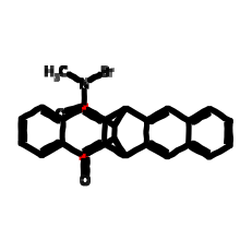 CN(Br)C(=O)C1C2c3cc4ccccc4cc3C(c3cc4ccccc4cc32)C1C=O